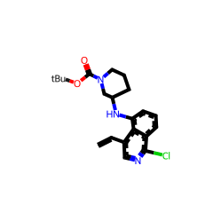 C=Cc1cnc(Cl)c2cccc(NC3CCCN(C(=O)OC(C)(C)C)C3)c12